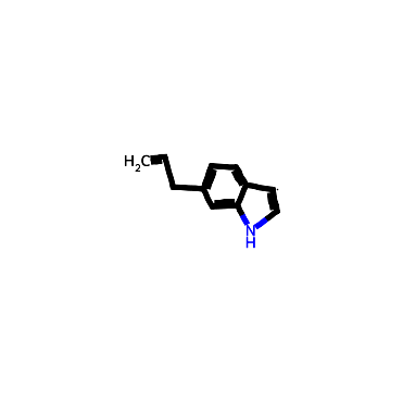 C=CCc1ccc2[c]c[nH]c2c1